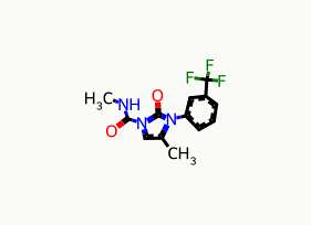 CNC(=O)n1cc(C)n(-c2cccc(C(F)(F)F)c2)c1=O